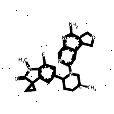 C[C@H]1CCC(c2cc(F)c3c(c2)C2(CC2)C(=O)N3C)N(c2cc3c4c(c(N)nc3cn2)COC4)C1